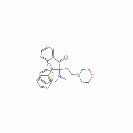 CN(C)C(CCN1CCOCC1)(C(=O)c1ccccc1)C(=O)c1ccccc1-c1ccccc1